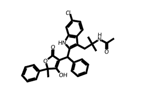 CC(=O)NC(C)(C)Cc1c(C(C2=C(O)C(C)(c3ccccc3)OC2=O)c2ccccc2)[nH]c2cc(Cl)ccc12